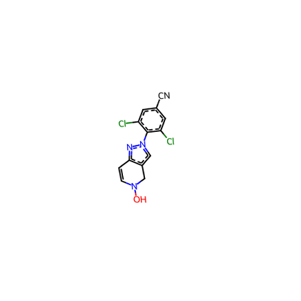 N#Cc1cc(Cl)c(-n2cc3c(n2)C=CN(O)C3)c(Cl)c1